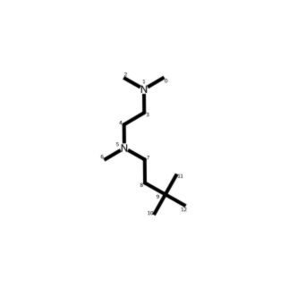 CN(C)CCN(C)CCC(C)(C)C